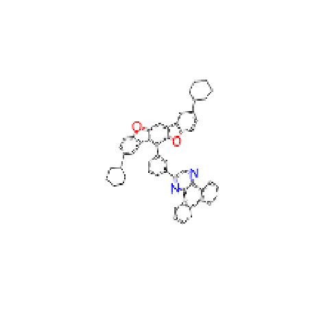 c1cc(-c2cnc3c4ccccc4c4ccccc4c3n2)cc(-c2c3oc4ccc(C5CCCCC5)cc4c3cc3oc4ccc(C5CCCCC5)cc4c23)c1